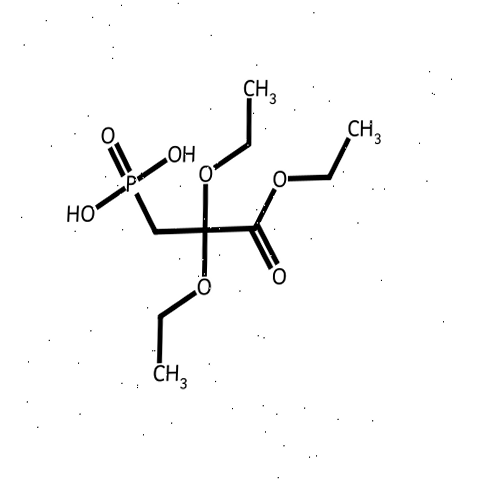 CCOC(=O)C(CP(=O)(O)O)(OCC)OCC